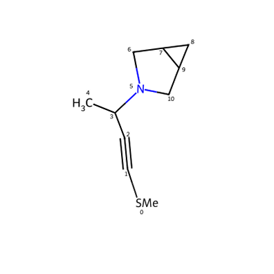 CSC#CC(C)N1CC2CC2C1